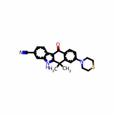 CC1(C)c2cc(N3CCSCC3)ccc2C(=O)c2c1[nH]c1cc(C#N)ccc21